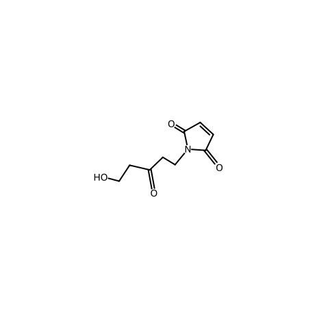 O=C(CCO)CCN1C(=O)C=CC1=O